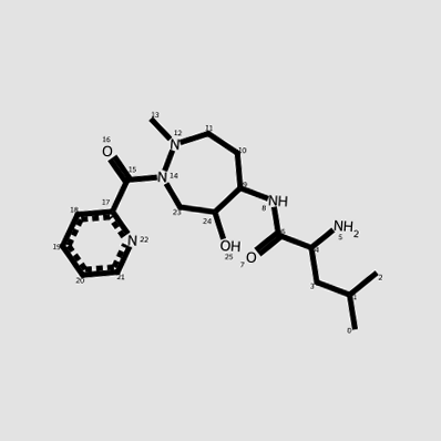 CC(C)CC(N)C(=O)NC1CCN(C)N(C(=O)c2ccccn2)CC1O